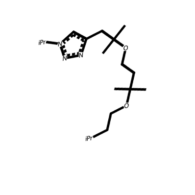 CC(C)CCOC(C)(C)CCOC(C)(C)Cc1cn(C(C)C)nn1